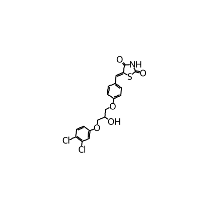 O=C1NC(=O)C(=Cc2ccc(OCC(O)COc3ccc(Cl)c(Cl)c3)cc2)S1